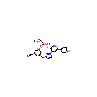 C=CC(=O)NCc1cnc(-c2ccc(F)cc2)cc1-c1ccn(Cc2cncc(C#N)c2)n1